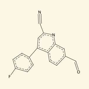 N#Cc1cc(-c2ccc(F)cc2)c2ccc(C=O)cc2n1